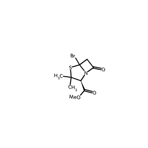 COC(=O)[C@@H]1N2C(=O)CC2(Br)SC1(C)C